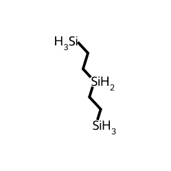 [SiH3]CC[SiH2]CC[SiH3]